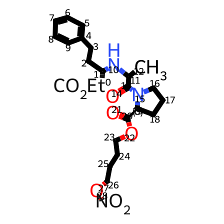 CCOC(=O)C(CCc1ccccc1)NC(C)C(=O)N1CCC[C@H]1C(=O)OCCCCO[N+](=O)[O-]